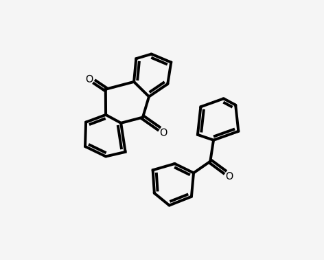 O=C(c1ccccc1)c1ccccc1.O=C1c2ccccc2C(=O)c2ccccc21